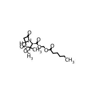 CCCCCC(=O)OCOC(=O)[C@@H]1N2C(=O)C[C@H]2S(=O)(=O)C1(C)C